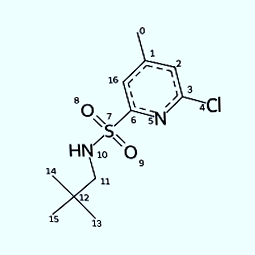 Cc1cc(Cl)nc(S(=O)(=O)NCC(C)(C)C)c1